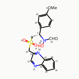 COc1ccc([C@@H](CS(=O)(=O)Cc2cnc3ccccc3n2)N(O)C=O)cc1